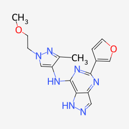 COCCn1cc(Nc2nc(-c3ccoc3)nc3cn[nH]c23)c(C)n1